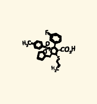 C=CCS[C@H]1[C@@H](C(=O)O)[C@H](c2cccc(F)c2)N(S(=O)(=O)c2ccc(C)cc2)[C@@H]1CC1CCCC1